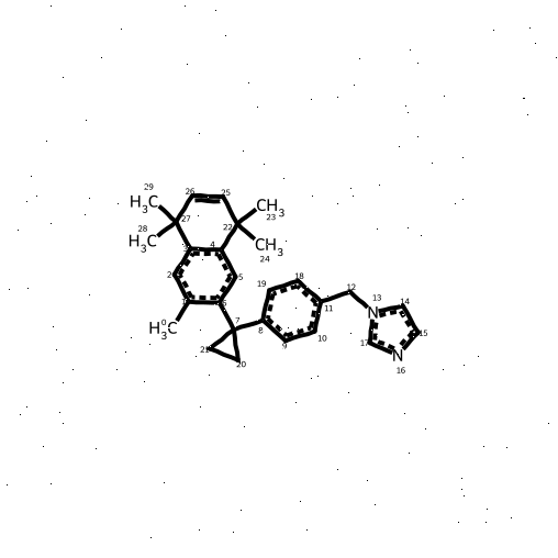 Cc1cc2c(cc1C1(c3ccc(Cn4ccnc4)cc3)CC1)C(C)(C)C=CC2(C)C